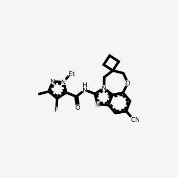 CCn1nc(C)c(F)c1C(=O)Nc1nc2cc(C#N)cc3c2n1CC1(CCC1)CO3